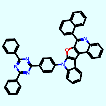 c1ccc(-c2nc(-c3ccccc3)nc(-c3ccc(-n4c5ccccc5c5c6c(oc54)c(-c4cccc5ccccc45)nc4ccccc46)cc3)n2)cc1